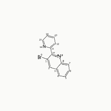 Brc1cc2ccccc2nc1-c1ccccn1